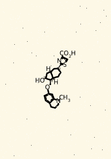 CN1CCCc2ccc(OC[C@@H]3[C@H]4CC[C@H](c5nc(C(=O)O)cs5)C[C@H]4C[C@@H]3O)cc21